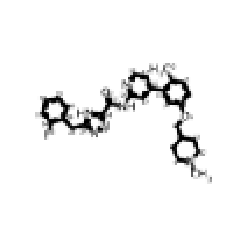 Cc1ccc(OCC2CCN(C)CC2)cc1-c1ccnc(NC(=O)c2nnc(Cc3ccccc3F)[nH]2)c1